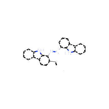 C=Cc1ccc2c([nH]c3ccccc32)c1N=Nc1cccc2c1[nH]c1ccccc12